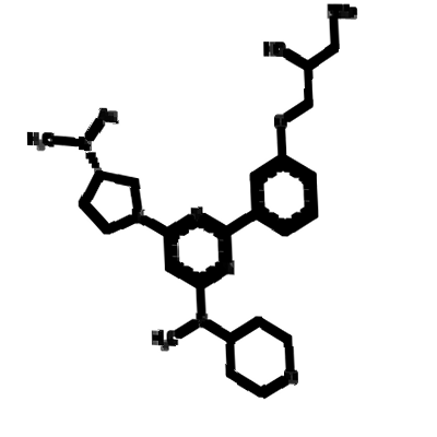 CNCC(O)COc1cccc(-c2nc(N3CC[C@H](N(C)C(C)=O)C3)cc(N(C)C3CCOCC3)n2)c1